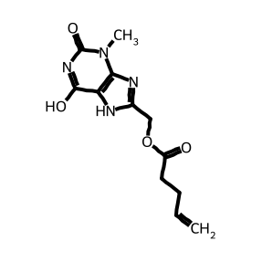 C=CCCC(=O)OCc1nc2c([nH]1)c(O)nc(=O)n2C